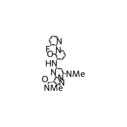 CNC(=O)c1cnn2c(NC)cc(Nc3cccn(-c4ncccc4F)c3=O)nc12